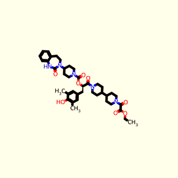 CCOC(=O)C(=O)N1CCC(C2CCN(C(=O)[C@@H](Cc3cc(C)c(O)c(C)c3)OC(=O)N3CCC(N4CCc5ccccc5NC4=O)CC3)CC2)CC1